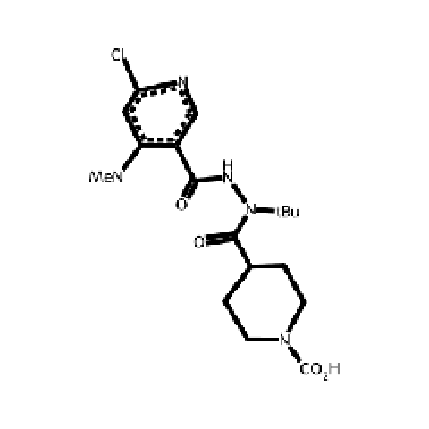 CNc1cc(Cl)ncc1C(=O)NN(C(=O)C1CCN(C(=O)O)CC1)C(C)(C)C